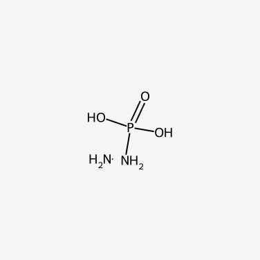 NP(=O)(O)O.[NH2]